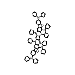 C1=CCC(N2c3ccccc3B3c4cc5c(cc4N(c4ccccc4)c4cc6c(oc7cc(N(c8ccccc8)c8ccccc8)ccc76)c2c43)N(c2ccccc2)c2cc3c(oc4cc(N(c6ccccc6)c6ccccc6)ccc43)c3c2B5c2ccccc2N3c2ccccc2)C=C1